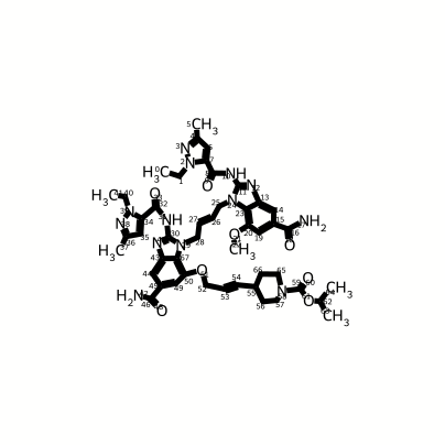 CCn1nc(C)cc1C(=O)Nc1nc2cc(C(N)=O)cc(OC)c2n1C/C=C/Cn1c(NC(=O)c2cc(C)nn2CC)nc2cc(C(N)=O)cc(OCC#CC3CCN(C(=O)OC(C)C)CC3)c21